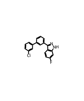 Fc1ccc2c(-c3cccc(-c4cccc(Cl)c4)c3)n[nH]c2c1